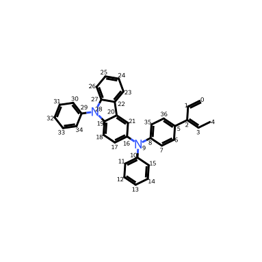 C=C/C(=C\C)c1ccc(N(c2ccccc2)c2ccc3c(c2)c2ccccc2n3-c2ccccc2)cc1